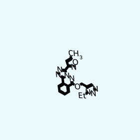 CCn1nncc1COc1nn2c(-c3cc(C)on3)nnc2c2ccccc12